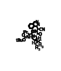 CC(C)[C@H](NC(=O)OC(C)(C)C)C(=O)N1C[C@H]2[C@@H]([C@H]1C(=O)NC(C#N)c1nncc3ccccc13)C2(C)C